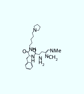 C=N/C(=C\NC)C[C@H](N)C(=O)N[C@@H](Cc1ccccc1)C(=O)NCCCCCN1CCCC1